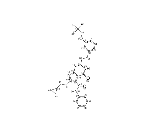 CC(F)(F)COc1cccc(CCC2Cc3nn(CCC4CC4)c(C(=O)Nc4ccccc4)c3C(=O)N2)c1